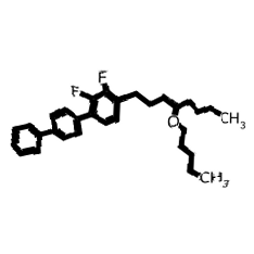 CCCCCOC(CCCC)CCCc1ccc(-c2ccc(-c3ccccc3)cc2)c(F)c1F